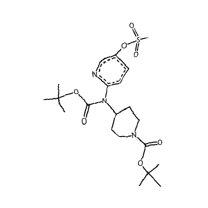 CC(C)(C)OC(=O)N1CCC(N(C(=O)OC(C)(C)C)c2ccc(OS(C)(=O)=O)cn2)CC1